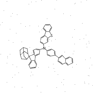 c1ccc2c(c1)-c1cc(N(c3ccc(-c4ccc5ccccc5c4)cc3)c3ccc4c(c3)sc3ccccc34)ccc1C21C2CC3CC(C2)CC1C3